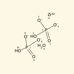 O.O=P([O-])([O-])O.O=P([O-])([O-])O.[Zr+4]